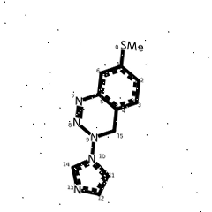 CSc1ccc2c(c1)N=NN(n1ccnc1)C2